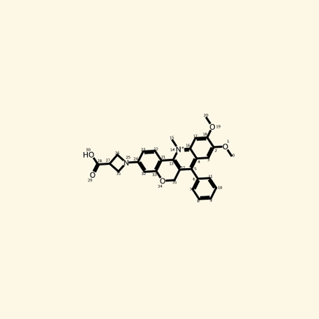 COc1cc2c(-c3ccccc3)c3c([n+](C)c2cc1OC)-c1ccc(N2CC(C(=O)O)C2)cc1OC3